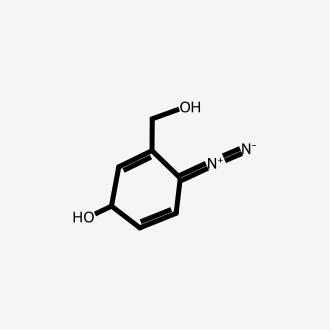 [N-]=[N+]=C1C=CC(O)C=C1CO